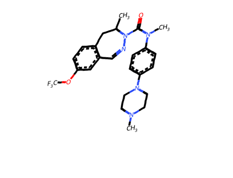 CC1Cc2ccc(OC(F)(F)F)cc2C=NN1C(=O)N(C)c1ccc(N2CCN(C)CC2)cc1